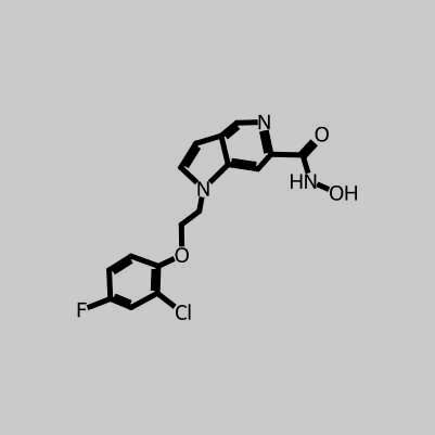 O=C(NO)c1cc2c(ccn2CCOc2ccc(F)cc2Cl)cn1